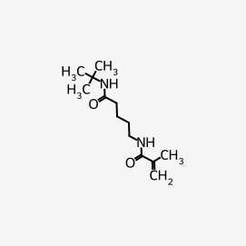 C=C(C)C(=O)NCCCCC(=O)NC(C)(C)C